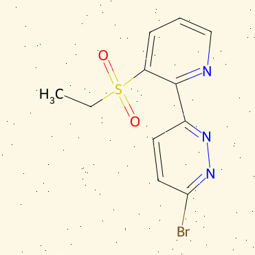 CCS(=O)(=O)c1cccnc1-c1ccc(Br)nn1